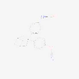 N#COc1ccc(C2(c3ccc(N=C=O)cc3)CC3CC(C3)C2)cc1